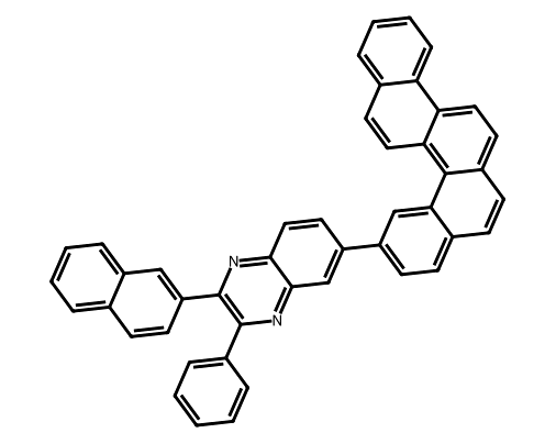 c1ccc(-c2nc3cc(-c4ccc5ccc6ccc7c8ccccc8ccc7c6c5c4)ccc3nc2-c2ccc3ccccc3c2)cc1